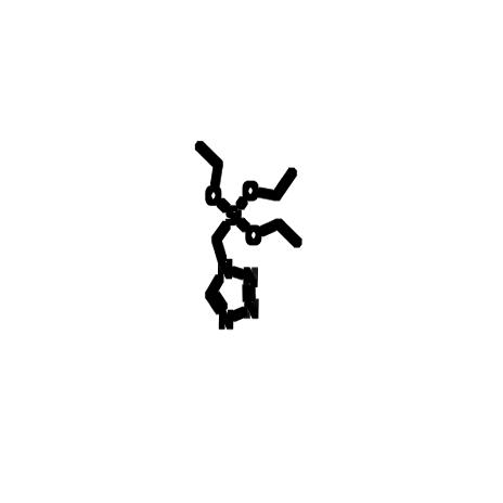 CCO[Si](Cn1cnnn1)(OCC)OCC